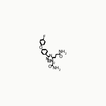 C=N/C(=N\C(=C/CC(N)=O)NCC(N)=O)c1ccc(Oc2ccc(F)cc2)cc1